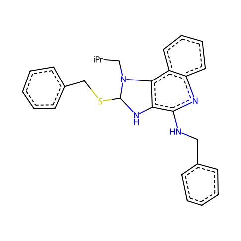 CC(C)CN1c2c(c(NCc3ccccc3)nc3ccccc23)NC1SCc1ccccc1